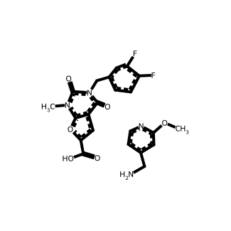 COc1cc(CN)ccn1.Cn1c(=O)n(Cc2ccc(F)c(F)c2)c(=O)c2cc(C(=O)O)oc21